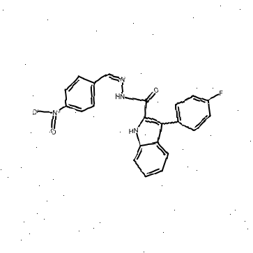 O=C(N/N=C\c1ccc([N+](=O)[O-])cc1)c1[nH]c2ccccc2c1-c1ccc(F)cc1